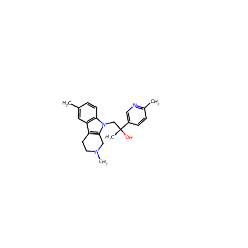 Cc1ccc2c(c1)c1c(n2CC(C)(O)c2ccc(C)nc2)CN(C)CC1